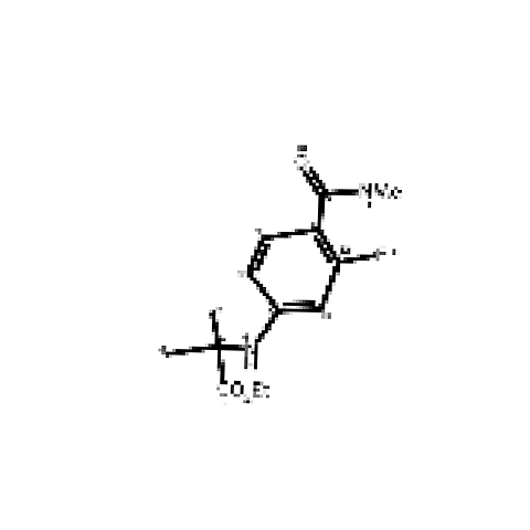 CCOC(=O)C(C)(C)Nc1ccc(C(=O)NC)c(F)c1